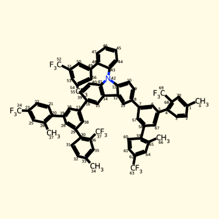 Cc1ccc(-c2cc(-c3ccc4c(c3)c3cc(-c5cc(-c6ccc(C(F)(F)F)cc6C)cc(-c6ccc(C)cc6C(F)(F)F)c5)ccc3n4-c3ccccc3-c3cc(C(F)(F)F)cc(C(F)(F)F)c3)cc(-c3ccc(C(F)(F)F)cc3C)c2)c(C(F)(F)F)c1